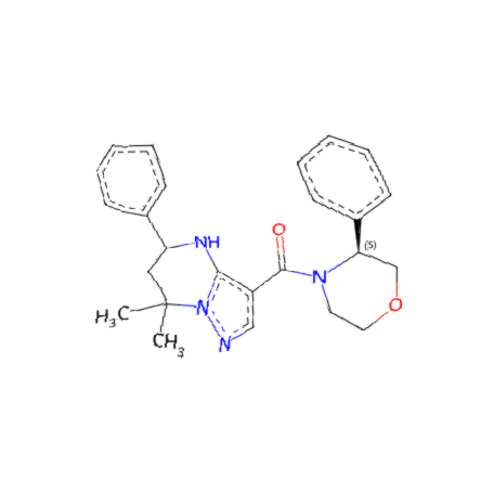 CC1(C)CC(c2ccccc2)Nc2c(C(=O)N3CCOC[C@@H]3c3ccccc3)cnn21